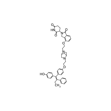 CC/C(=C(\c1ccc(O)cc1)c1ccc(OCCN2CC3CC2CN3CCOc2cccc3c2CN(C2CCC(=O)NC2=O)C3=O)cc1)c1ccccc1